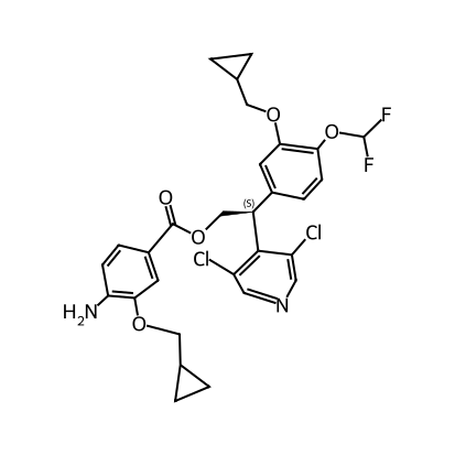 Nc1ccc(C(=O)OC[C@@H](c2ccc(OC(F)F)c(OCC3CC3)c2)c2c(Cl)cncc2Cl)cc1OCC1CC1